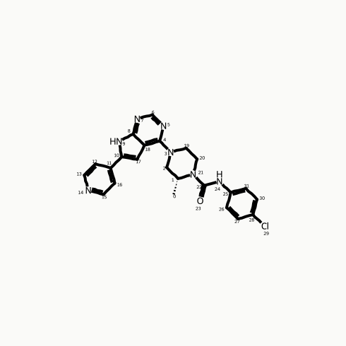 C[C@@H]1CN(c2ncnc3[nH]c(-c4ccncc4)cc23)CCN1C(=O)Nc1ccc(Cl)cc1